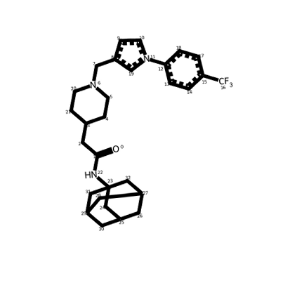 O=C(CC1CCN(Cc2ccn(-c3ccc(C(F)(F)F)cc3)c2)CC1)NC12CC3CC(CC(C3)C1)C2